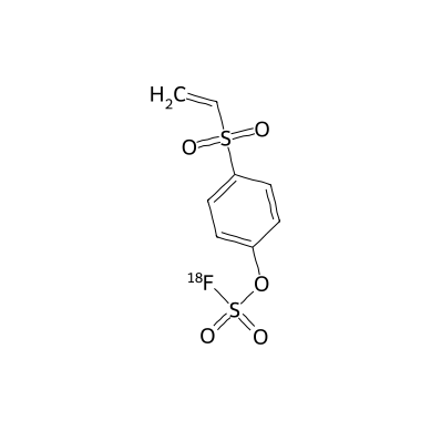 C=CS(=O)(=O)c1ccc(OS(=O)(=O)[18F])cc1